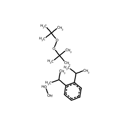 CC(C)(C)OOC(C)(C)C.CC(C)c1ccccc1C(C)C.OO